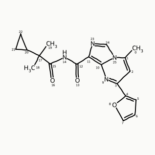 Cc1cc(-c2ccco2)nc2c(C(=O)NC(=O)C(C)(C)C3CC3)ncn12